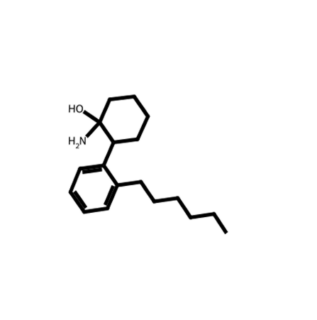 CCCCCCc1ccccc1C1CCCCC1(N)O